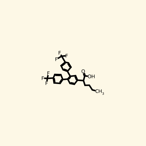 CCCCC(C(=O)O)c1ccc(-c2ccc(C(F)(F)F)cc2)c(-c2ccc(C(F)(F)F)cc2)c1